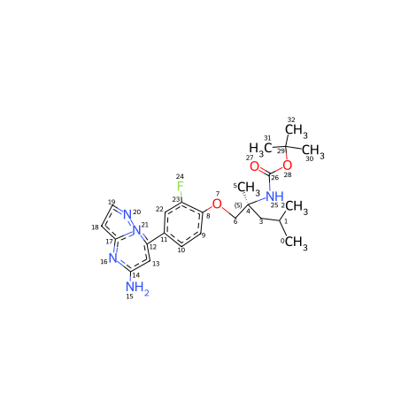 CC(C)C[C@@](C)(COc1ccc(-c2cc(N)nc3ccnn23)cc1F)NC(=O)OC(C)(C)C